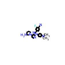 CN(C)c1ccc(-n2c(-c3ccc(C#N)c(F)c3)nc3c(N4CCCC(N)C4)ccnc32)cc1